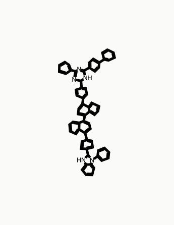 c1ccc(C2=NC(c3ccc(-c4ccc(-c5ccc(-c6ccc(C7Nc8ccccc8N7c7ccccc7)cc6)c6ccccc56)c5ccccc45)cc3)NC(c3ccc(-c4ccccc4)cc3)=N2)cc1